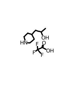 CC(O)CC1CCNCC1.O=C(O)C(F)(F)F